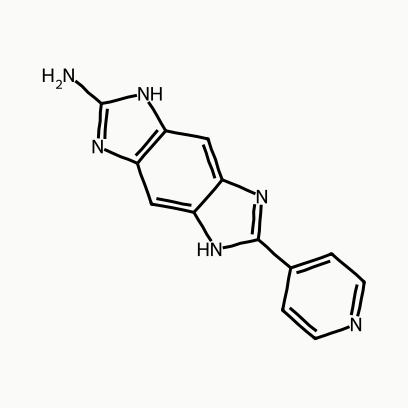 Nc1nc2cc3[nH]c(-c4ccncc4)nc3cc2[nH]1